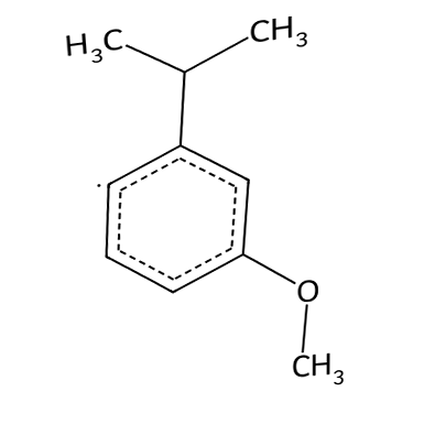 COc1cc[c]c(C(C)C)c1